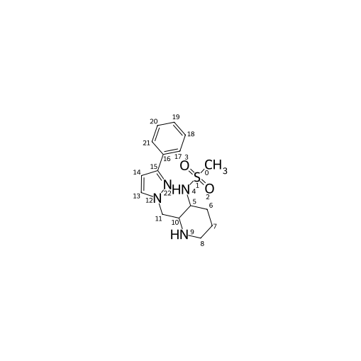 CS(=O)(=O)NC1CCCNC1Cn1ccc(-c2ccccc2)n1